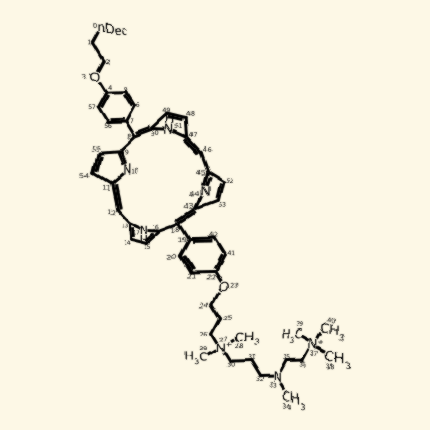 CCCCCCCCCCCCOc1ccc(-c2c3nc(cc4ccc([nH]4)c(-c4ccc(OCCC[N+](C)(C)CCCN(C)CC[N+](C)(C)C)cc4)c4nc(cc5ccc2[nH]5)C=C4)C=C3)cc1